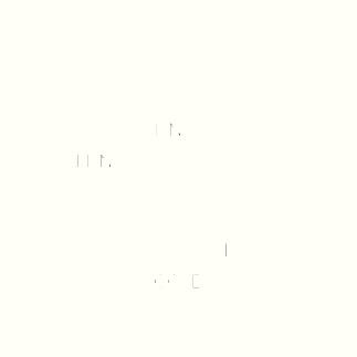 CCOC(=O)c1cc(N)c(NC2CCCCC2)cc1F